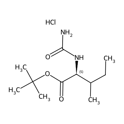 CCC(C)[C@H](NC(N)=O)C(=O)OC(C)(C)C.Cl